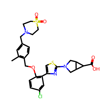 Cc1cc(CN2CCS(=O)(=O)CC2)ccc1COc1ccc(Cl)cc1-c1csc(N2CC3C(C2)C3C(=O)O)n1